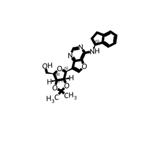 CC1(C)O[C@@H]2[C@H](O1)[C@@H](CO)O[C@H]2c1coc2c(N[C@H]3CCc4ccccc43)ncnc12